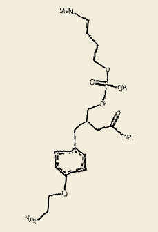 CCCCCCCCCCCCOc1ccc(CC(COP(=O)(O)OCCCCNC)CC(=O)CCC)cc1